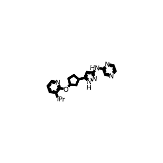 CC(C)c1cccnc1OC1CCC(c2cc(Nc3cnccn3)n[nH]2)C1